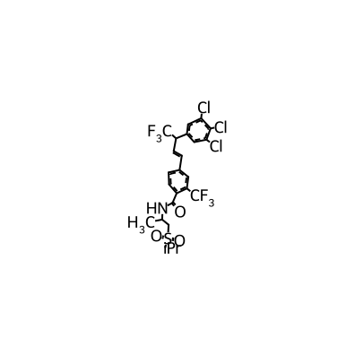 CC(CS(=O)(=O)C(C)C)NC(=O)c1ccc(/C=C/C(c2cc(Cl)c(Cl)c(Cl)c2)C(F)(F)F)cc1C(F)(F)F